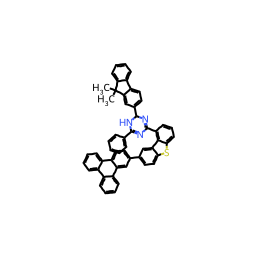 CC1(C)c2ccccc2-c2ccc(C3N=C(c4cccc5sc6ccc(-c7ccc8c9ccccc9c9ccccc9c8c7)cc6c45)N=C(c4ccccc4)N3)cc21